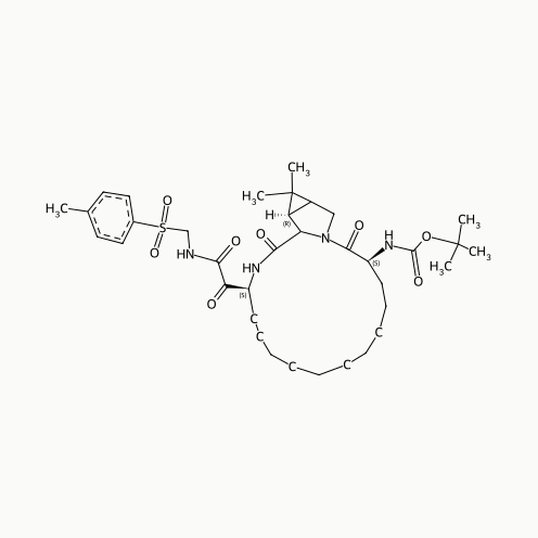 Cc1ccc(S(=O)(=O)CNC(=O)C(=O)[C@@H]2CCCCCCCCCC[C@H](NC(=O)OC(C)(C)C)C(=O)N3CC4[C@@H](C3C(=O)N2)C4(C)C)cc1